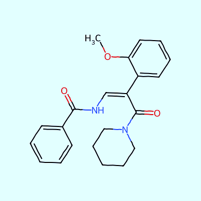 COc1ccccc1C(=CNC(=O)c1ccccc1)C(=O)N1CCCCC1